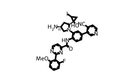 COc1cccc(F)c1-c1nccc(C(=O)Nc2ccc(-c3cnccc3C#N)cc2N2C[C@@H](N)C[C@H]2C2(O)CC2I)n1